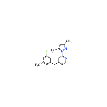 Cc1cc(C)n(-c2cc(Cc3cc(F)cc(C(F)(F)F)c3)ccn2)n1